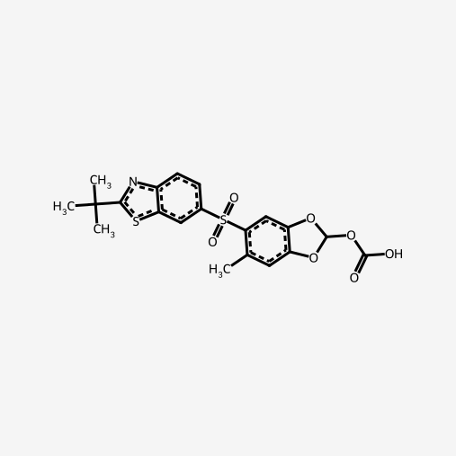 Cc1cc2c(cc1S(=O)(=O)c1ccc3nc(C(C)(C)C)sc3c1)OC(OC(=O)O)O2